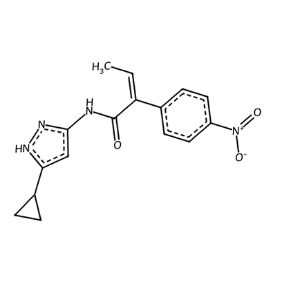 CC=C(C(=O)Nc1cc(C2CC2)[nH]n1)c1ccc([N+](=O)[O-])cc1